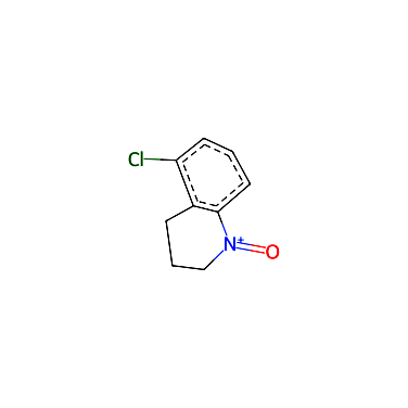 O=[N+]1CCCc2c(Cl)cccc21